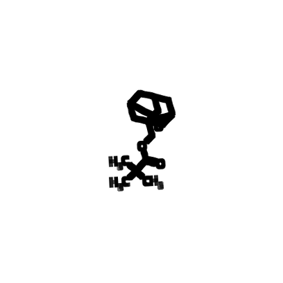 CC(C)(C)C(=O)OCC12CC3CC(C1)C(=O)C(C3)C2